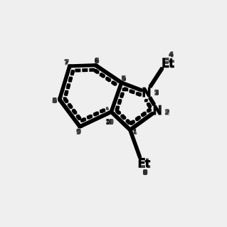 CCc1nn(CC)c2ccccc12